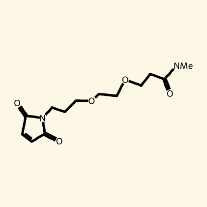 CNC(=O)CCOCCOCCCN1C(=O)C=CC1=O